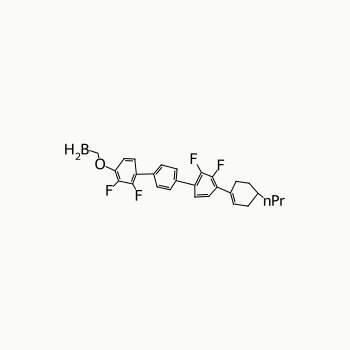 BCOc1ccc(-c2ccc(-c3ccc(C4=CCC(CCC)CC4)c(F)c3F)cc2)c(F)c1F